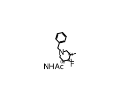 CC(=O)N[C@H]1CN(Cc2ccccc2)C[C@@H](C)[C@H]1F